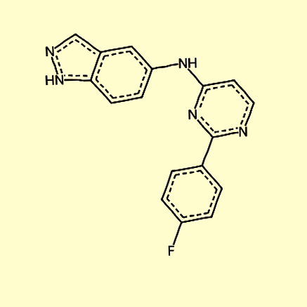 Fc1ccc(-c2nccc(Nc3ccc4[nH]ncc4c3)n2)cc1